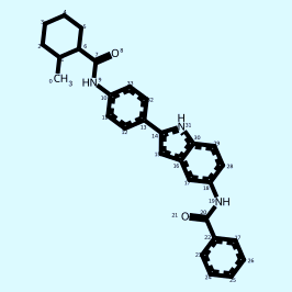 CC1CCCCC1C(=O)Nc1ccc(-c2cc3cc(NC(=O)c4ccccc4)ccc3[nH]2)cc1